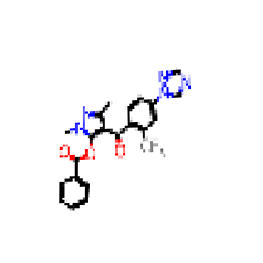 Cc1nn(C)c(OC(=O)c2ccccc2)c1C(=O)c1ccc(-n2cncn2)cc1C(F)(F)F